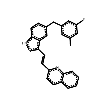 Fc1cc(F)cc(Cc2ccc3[nH]nc(C=Cc4ccc5ccccc5n4)c3c2)c1